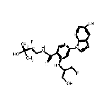 CC(C)(O)[C@H](F)CNC(=O)c1cnc(-n2ccc3cc(C#N)cnc32)cc1NC(CO)CF